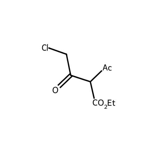 CCOC(=O)C(C(C)=O)C(=O)CCl